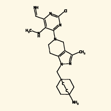 CNc1c(C=N)nc(Cl)nc1N1CCc2c(c(C)nn2CC23CCC(N)(CC2)CC3)C1